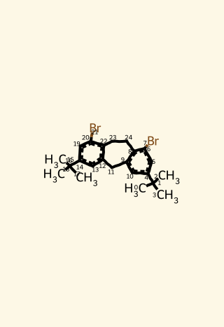 CC(C)(C)c1cc(Br)c2c(c1)Cc1cc(C(C)(C)C)cc(Br)c1CC2